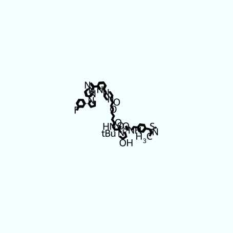 Cc1ncsc1-c1ccc(CNC(=O)[C@@H]2C[C@@H](O)CN2C(=O)[C@@H](NC(=O)CCCOCC(=O)N2CCN(c3cccc(-c4cnc5ccc(N6CCC[C@@H]6c6cccc(F)c6)nn45)n3)CC2)C(C)(C)C)cc1